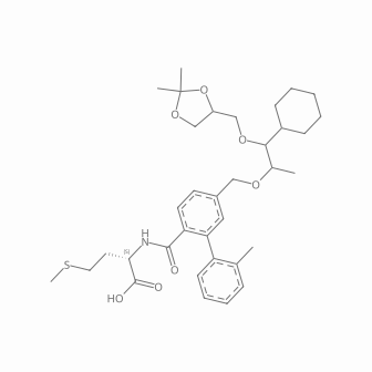 CSCC[C@H](NC(=O)c1ccc(COC(C)C(OCC2COC(C)(C)O2)C2CCCCC2)cc1-c1ccccc1C)C(=O)O